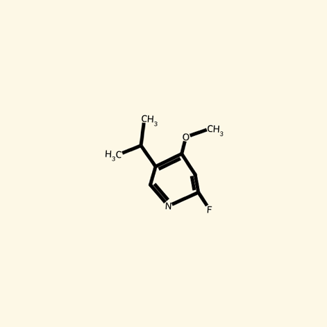 COc1cc(F)ncc1C(C)C